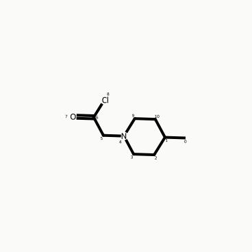 CC1CCN(CC(=O)Cl)CC1